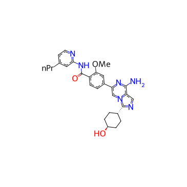 CCCc1ccnc(NC(=O)c2ccc(-c3cn4c(cnc4[C@H]4CC[C@H](O)CC4)c(N)n3)cc2OC)c1